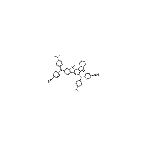 CC(C)c1ccc(C(c2ccc(C#N)cc2)c2cc3c(c4c2oc2ccccc24)C(C)(C)c2cc(N(c4ccc(C#N)cc4)c4ccc(C(C)C)cc4)ccc2-3)cc1